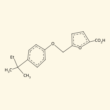 CCC(C)(C)c1ccc(OCc2ccc(C(=O)O)o2)cc1